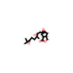 CC1(C)OC1CCC1(C)OC1CCC12CC3COC(=O)C3CC1O2